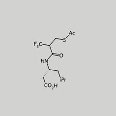 CC(=O)SCC(C(=O)N[C@@H](CC(=O)O)CC(C)C)C(F)(F)F